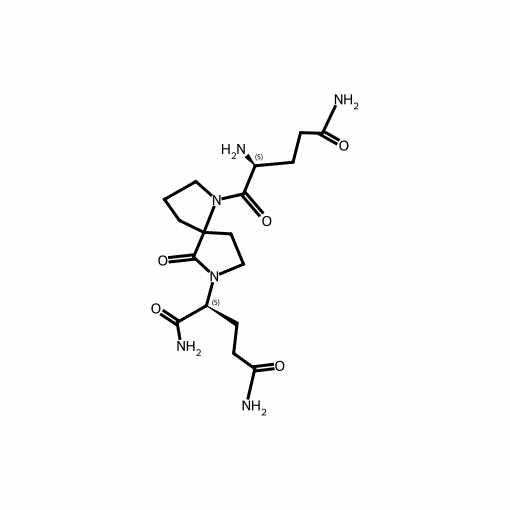 NC(=O)CC[C@H](N)C(=O)N1CCCC12CCN([C@@H](CCC(N)=O)C(N)=O)C2=O